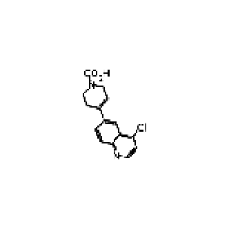 O=C(O)N1CC=C(c2ccc3nccc(Cl)c3c2)CC1